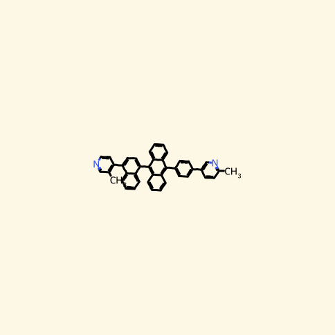 Cc1ccc(-c2ccc(-c3c4ccccc4c(-c4ccc(-c5ccncc5C)c5ccccc45)c4ccccc34)cc2)cn1